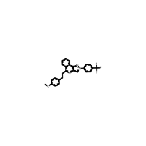 COc1ccc(CCc2nc3cn(-c4ccc(C(F)(F)F)cc4)nc3c3ccccc23)cc1